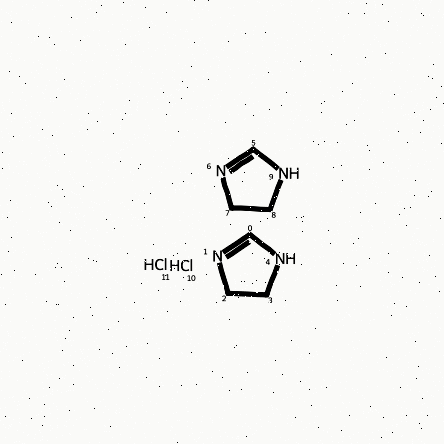 C1=NCCN1.C1=NCCN1.Cl.Cl